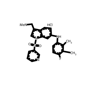 CNCc1cn(S(=O)(=O)c2cccnc2)c2cc(Nc3ccc(F)c(C)c3C)ccc12.Cl